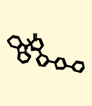 CC1(n2c3c(c4ccccc42)CCC=C3)N=C(C2C=CC=C(c3ccc(-c4ccccc4)cc3)C2)C=CN1